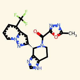 Cc1nnc(C(=O)N2CCc3[nH]cnc3[C@@H]2c2cc3c(C(F)(F)F)cccn3n2)o1